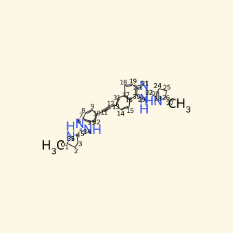 C[C@H]1CC[C@@H](c2nc3ccc(C#Cc4ccc5c(ccc6nc([C@@H]7CC[C@H](C)N7)[nH]c65)c4)cc3[nH]2)N1